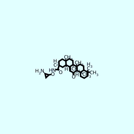 CC1(C)CCC[C@@]2(C)C1CC[C@]1(C)[C@@H]2C(=O)C=C2[C@@H]3C[C@@](C)(C(=O)NOC4C[C@@H]4N)CC[C@]3(C)CC[C@]21C